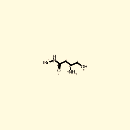 CC(C)(C)NC(=O)C[C@H](N)CO